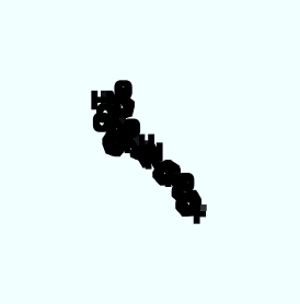 O=C1CCC(N2C(=O)c3cccc(NCc4cnn(C5CCN(C(=O)Cc6ccc(F)cc6)CC5)c4)c3C2=O)C(=O)N1